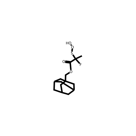 CC(F)(SOO)C(=O)OCC12CC3CC(CC(C3)C1)C2